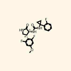 COc1cc(F)c([C@@H]2CNC(=O)[C@H]2NC(=O)NC2(c3ccccc3F)CC2)c(F)c1